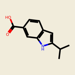 CC(C)c1cc2ccc(C(=O)O)cc2[nH]1